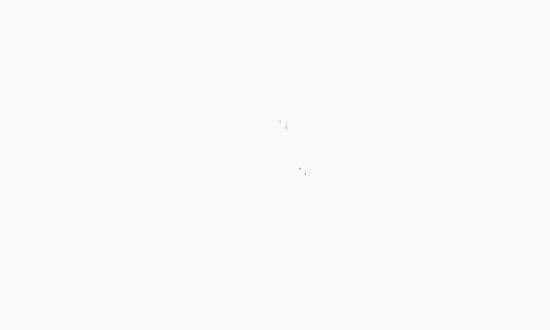 CN(C)CC1NCCc2ccsc21